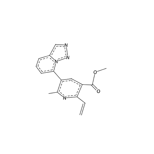 C=Cc1nc(C)c(-c2cccc3cnnn23)cc1C(=O)OC